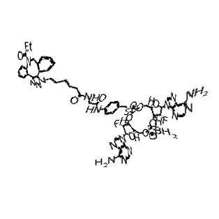 BP1(=O)OC[C@H]2O[C@@H](n3cnc4c(N)ncnc43)[C@H](F)[C@@H]2OP(=O)(SCc2ccc(NC(=O)CNC(=O)CCCCCn3nnc4c3-c3ccccc3CN(C(=O)CC)c3ccccc3-4)cc2)OC[C@H]2O[C@@H](n3cnc4c(N)ncnc43)[C@H](F)[C@@H]2O1